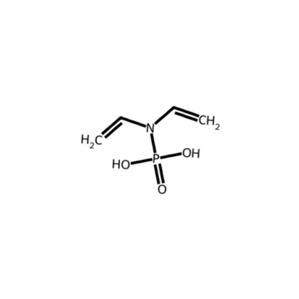 C=CN(C=C)P(=O)(O)O